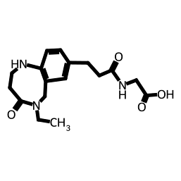 CCN1Cc2cc(CCC(=O)NCC(=O)O)ccc2NCCC1=O